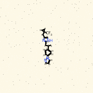 CC(Cc1nc(CC2(C(F)(F)F)CC2)c[nH]1)c1ccc(-n2cccn2)cc1